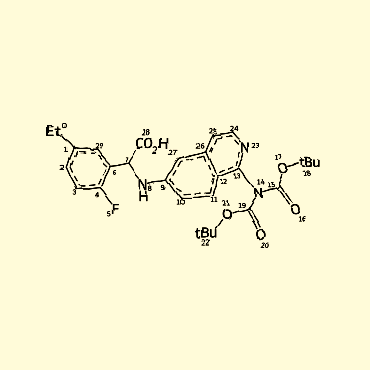 CCc1ccc(F)c(C(Nc2ccc3c(N(C(=O)OC(C)(C)C)C(=O)OC(C)(C)C)nccc3c2)C(=O)O)c1